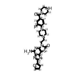 Nc1nc2c(sc(=O)n2CCN2CCN(c3ccc(C(=O)N4CCNCC4)cc3F)CC2)c2nc(-c3ccco3)nn12